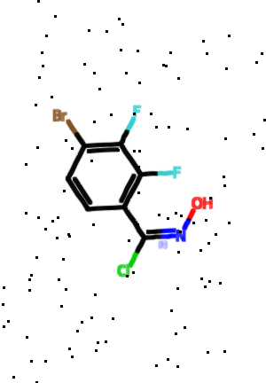 O/N=C(/Cl)c1ccc(Br)c(F)c1F